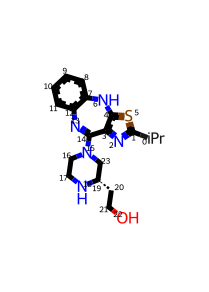 CC(C)c1nc2c(s1)Nc1ccccc1N=C2N1CCN[C@@H](CCO)C1